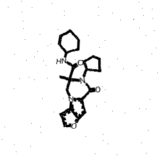 CC1(C(=O)NC2CCCCC2)Cn2c(cc3occc32)C(=O)N1C1CCCC1